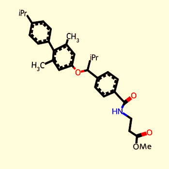 COC(=O)CCNC(=O)c1ccc(C(Oc2cc(C)c(-c3ccc(C(C)C)cc3)c(C)c2)C(C)C)cc1